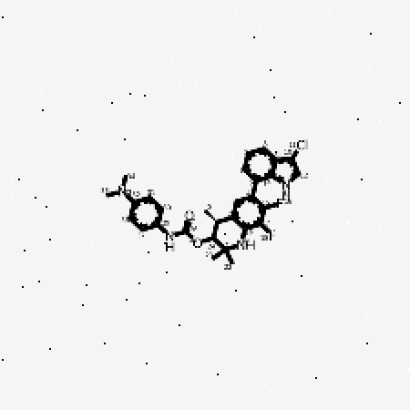 C[C@H]1c2cc(-c3cccc4c(Cl)c[nH]c34)c(F)c(F)c2NC(C)(C)C1OC(=O)Nc1ccc(N(C)C)cc1